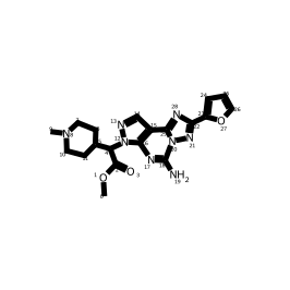 COC(=O)C(C1CCN(C)CC1)n1ncc2c1nc(N)n1nc(-c3ccco3)nc21